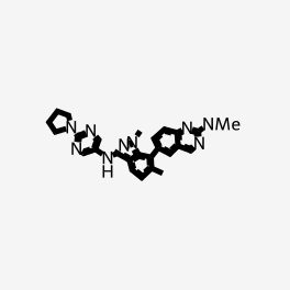 CNc1ncc2cc(-c3c(C)ccc4c(Nc5cnc(N6CCCC6)nc5)nn(C)c34)ccc2n1